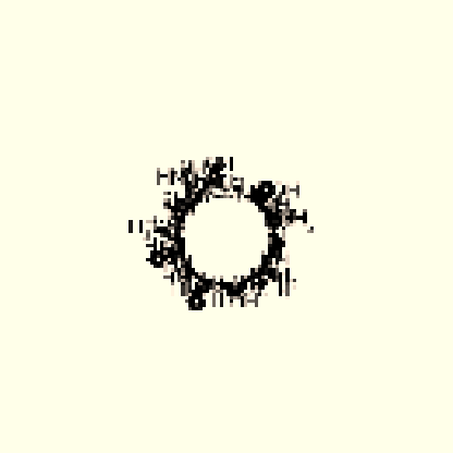 CCCC[C@H]1C(=O)N(C)[C@@H](CCCC)C(=O)N[C@@H](CCCNC(=N)N)C(=O)N[C@H](C(=O)NCC(=O)O)CSCC(=O)N[C@@H](Cc2ccc(O)cc2)C(=O)N(C)[C@@H](C)C(=O)N[C@@H](CC(N)=O)C(=O)N2CCC[C@H]2C(=O)N[C@@H](CN)C(=O)N[C@@H](CC(C)C)C(=O)N2C[C@H](O)C[C@H]2C(=O)N[C@@H](Cc2c[nH]c3ccccc23)C(=O)N[C@@H](CO)C(=O)N[C@@H](Cc2csc3ccccc23)C(=O)N1C